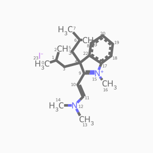 CC(C)CC1(CC(C)C)C(C=CN(C)C)=[N+](C)c2ccccc21.[I-]